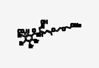 COCCOCCO/C(C)=C/C=C(\C=N\O)NC(=O)c1c(Br)c(Br)c(Br)c(Br)c1C(=O)O